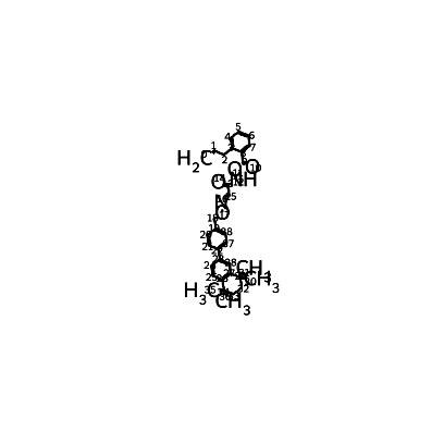 C=CCc1ccccc1C(=O)ONC(=O)C=NOCc1ccc(-c2ccc3c(c2)C(C)(C)CCC3(C)C)cc1